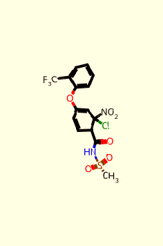 CS(=O)(=O)NC(=O)C1C=CC(Oc2ccccc2C(F)(F)F)=CC1(Cl)[N+](=O)[O-]